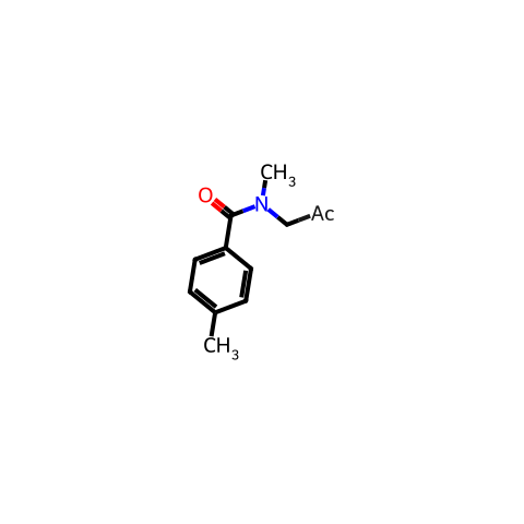 CC(=O)CN(C)C(=O)c1ccc(C)cc1